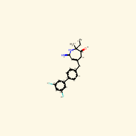 CC(C)CC1(C)NC(=N)C=C(Cc2ccc(-c3cc(F)cc(F)c3)cc2)CC1=O